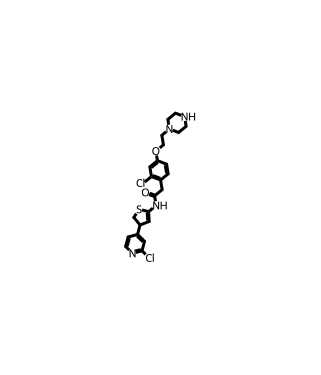 O=C(Cc1ccc(OCCN2CCNCC2)cc1Cl)NC1=CC(c2ccnc(Cl)c2)CS1